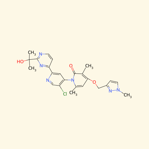 Cc1c(OCc2ccn(C)n2)cc(C)n(-c2cc(-c3ccnc(C(C)(C)O)n3)ncc2Cl)c1=O